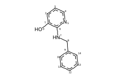 Oc1cccnc1NCc1ccccc1